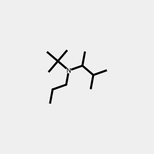 CCCN(C(C)C(C)C)C(C)(C)C